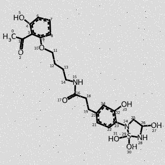 CC(=O)c1c(O)cccc1OCCCCNC(=O)CCc1ccc(N2CC(O)NS2(O)O)c(O)c1